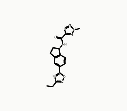 CCc1noc(-c2ccc3c(c2)CC[C@H]3NC(=O)c2nnn(C)n2)n1